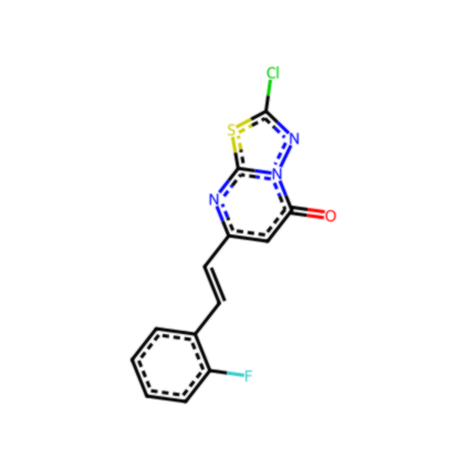 O=c1cc(/C=C/c2ccccc2F)nc2sc(Cl)nn12